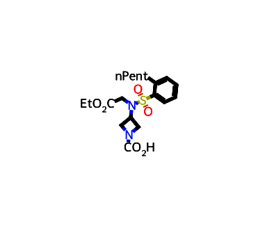 CCCCCc1ccccc1S(=O)(=O)N(CC(=O)OCC)C1CN(C(=O)O)C1